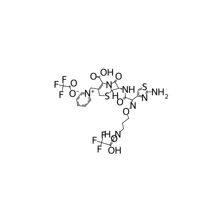 NCCCO/N=C(\C(=O)N[C@@H]1C(=O)N2C(C(=O)O)=C(C[n+]3ccccc3)CS[C@@H]12)c1csc(N)n1.O=C(O)C(F)(F)F.O=C([O-])C(F)(F)F